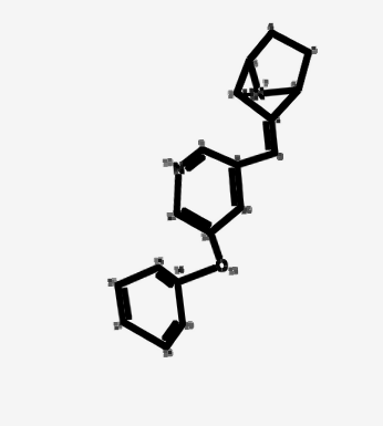 C(=C1/CC2CCC1N2)/c1cncc(Oc2ccccc2)c1